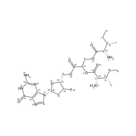 CC[C@H](C)[C@H](N)C(=O)OCC(OC(=O)[C@@H](N)[C@@H](C)CC)C(=O)OC[C@H]1O[C@@H](n2cnc3c(=O)[nH]c(N)nc32)CC1F